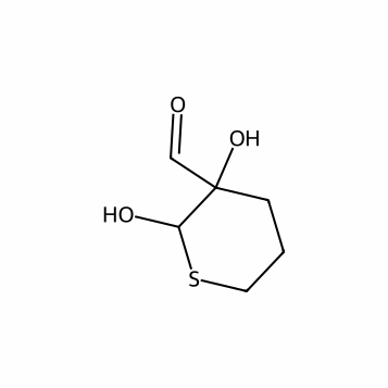 O=CC1(O)CCCSC1O